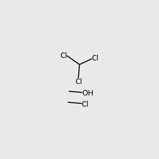 CCl.CO.ClC(Cl)Cl